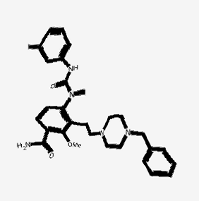 COc1c(C(N)=O)ccc(N(C)C(=O)Nc2cccc(I)c2)c1CCN1CCN(Cc2ccccc2)CC1